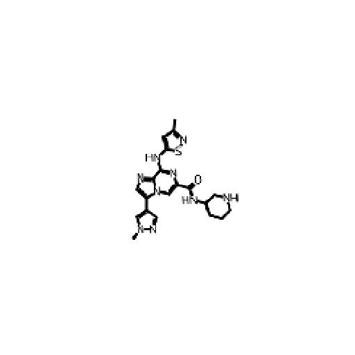 Cc1cc(Nc2nc(C(=O)NC3CCCNC3)cn3c(-c4cnn(C)c4)cnc23)sn1